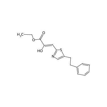 CCOC(=O)/C(O)=C/c1ncc(CCc2ccccc2)s1